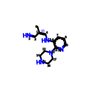 C/C(C=N)=C/Nc1cccnc1N1CCNCC1